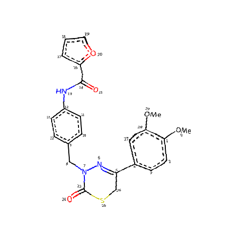 COc1ccc(C2=NN(Cc3ccc(NC(=O)c4ccco4)cc3)C(=O)SC2)cc1OC